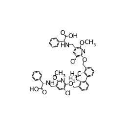 COc1nc(OCc2cccc(-c3cccc(COc4nc(OC)c(CN[C@H](C(=O)O)c5ccccc5)cc4Cl)c3C)c2C)c(Cl)cc1CN[C@H](C(=O)O)c1ccccc1